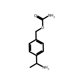 CC(N)c1ccc(COC(N)=O)cc1